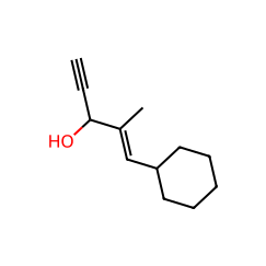 C#CC(O)/C(C)=C/C1CCCCC1